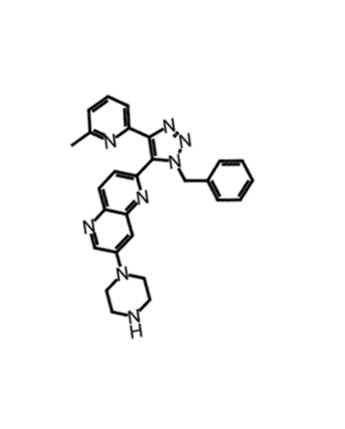 Cc1cccc(-c2nnn(Cc3ccccc3)c2-c2ccc3ncc(N4CCNCC4)cc3n2)n1